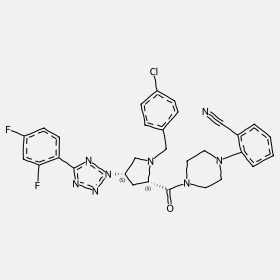 N#Cc1ccccc1N1CCN(C(=O)[C@@H]2C[C@H](n3nnc(-c4ccc(F)cc4F)n3)CN2Cc2ccc(Cl)cc2)CC1